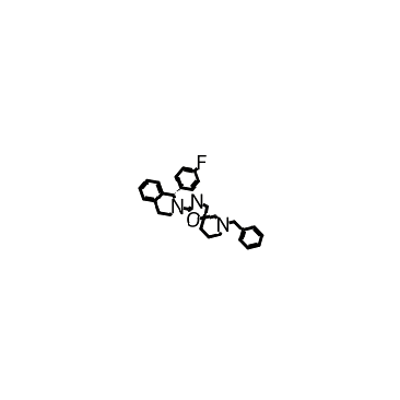 Fc1ccc([C@H]2c3ccccc3CCN2C2=NCC3(CCCN(Cc4ccccc4)C3)O2)cc1